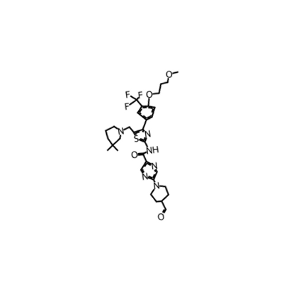 COCCCOc1ccc(-c2nc(NC(=O)c3cnc(N4CCC(C=O)CC4)cn3)sc2CN2CCCC(C)(C)C2)cc1C(F)(F)F